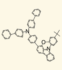 CC(C)(C)c1ccc2c(c1)Oc1c(-c3ccc(N(c4ccc(-c5ccccc5)cc4)c4ccc(-c5ccccc5)cc4)cc3)ccc3c4ccccc4n-2c13